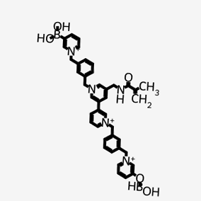 C=C(C)C(=O)NCc1cc(-c2ccc[n+](Cc3cccc(C[n+]4cccc(OBO)c4)c3)c2)c[n+](Cc2cccc(C[n+]3cccc(B(O)O)c3)c2)c1